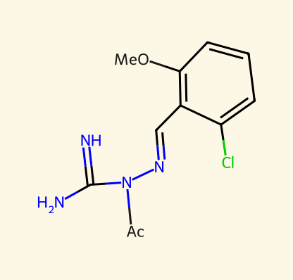 COc1cccc(Cl)c1/C=N/N(C(=N)N)C(C)=O